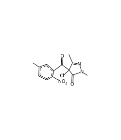 CC1=NN(C)C(=O)C1(Cl)C(=O)c1cc(C)ccc1[N+](=O)[O-]